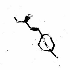 COC(=O)C=CC12COC(C)(CO1)CO2